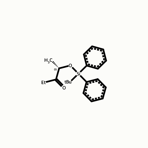 CCC(=O)[C@H](C)O[Si](c1ccccc1)(c1ccccc1)C(C)(C)C